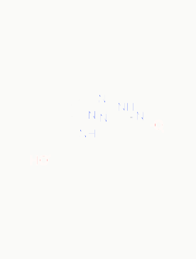 COc1cccc(Nc2nc3cccc(NC4CCC(O)CC4)n3n2)n1